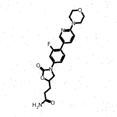 NC(=O)CCC1CN(c2ccc(-c3ccc(N4CCOCC4)nc3)c(F)c2)C(=O)O1